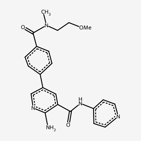 COCCN(C)C(=O)c1ccc(-c2cnc(N)c(C(=O)Nc3ccncc3)c2)cc1